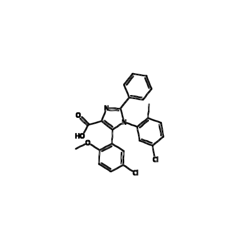 COc1ccc(Cl)cc1-c1c(C(=O)O)nc(-c2ccccc2)n1-c1cc(Cl)ccc1C